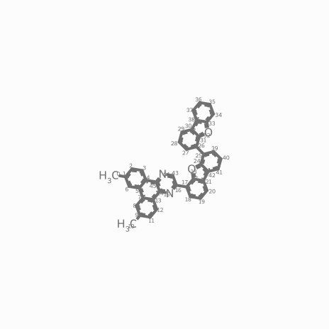 Cc1ccc2c(c1)c1cc(C)ccc1c1nc(-c3cccc4c3oc3c(-c5cccc6c5oc5ccccc56)cccc34)cnc21